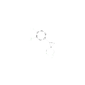 Clc1ccc(C2CC2(CBr)CBr)cc1Cl